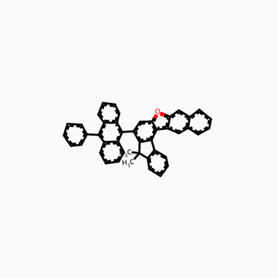 CC1(C)c2ccccc2-c2c1c(-c1c3ccccc3c(-c3ccccc3)c3ccccc13)cc1oc3cc4ccccc4cc3c21